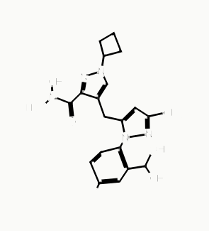 Cc1cc(Cc2cn(C3CCC3)nc2C(=O)N(C)C)n(-c2ccc(F)cc2C(C)O)n1